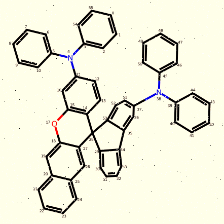 c1ccc(N(c2ccccc2)c2ccc3c(c2)Oc2cc4ccccc4cc2C32c3ccccc3-c3cc(N(c4ccccc4)c4ccccc4)ccc32)cc1